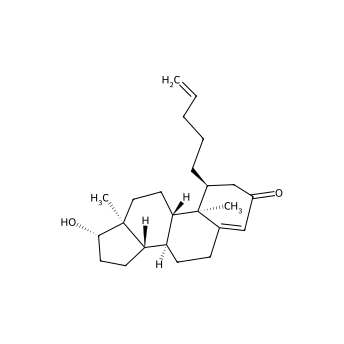 C=CCCC[C@H]1CC(=O)C=C2CC[C@H]3[C@@H]4CC[C@H](O)[C@@]4(C)CC[C@@H]3[C@]21C